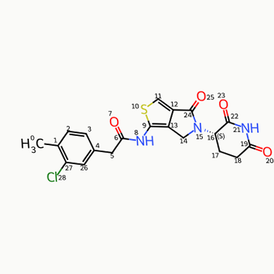 Cc1ccc(CC(=O)Nc2scc3c2CN([C@H]2CCC(=O)NC2=O)C3=O)cc1Cl